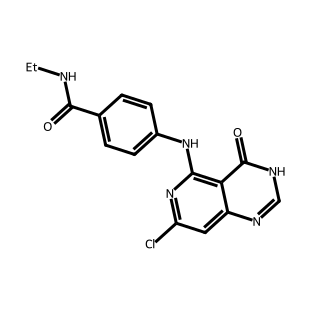 CCNC(=O)c1ccc(Nc2nc(Cl)cc3nc[nH]c(=O)c23)cc1